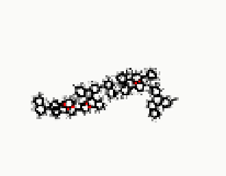 CC1C=CC(c2cccc3ccccc23)=C(c2ccc(N(c3ccc(-c4ccc(-c5cccc6c(-c7ccc(-c8cccc(N(c9ccc(-c%10ccc(-c%11cccc%12ccccc%11%12)cc%10)cc9)c9ccccc9-c9ccc%10c(c9)oc9ccccc9%10)c8)c(-c8cccc9ccccc89)c7)cccc56)cc4)cc3)c3ccccc3-c3ccc4c(c3)oc3ccccc34)cc2)C1